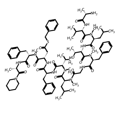 CC(C)C[C@@H](C(=O)N(C)[C@H](C(=O)N[C@@H](Cc1ccccc1)C(=O)N[C@@H](CC(=O)SCc1ccccc1)C(=O)N(C)[C@@H](Cc1ccccc1)C(=O)N[C@@H](C)C(=O)N1CCCCC1)C(C)C)N(C)C(=O)CNC(=O)[C@H](Cc1ccccc1)N(C)C(=O)[C@@H](NC(=O)[C@H](CC(C)C)N(C)C(=O)[C@@H](NC(=O)[C@H](C)N)C(C)C)[C@@H](C)O